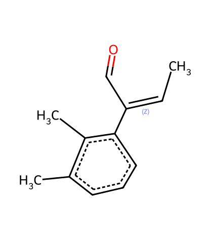 C/C=C(\C=O)c1cccc(C)c1C